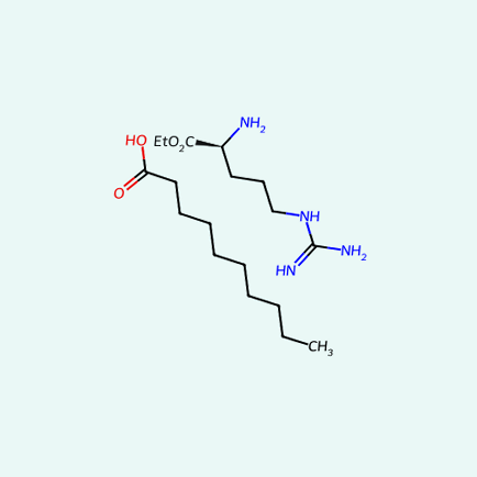 CCCCCCCCCC(=O)O.CCOC(=O)[C@@H](N)CCCNC(=N)N